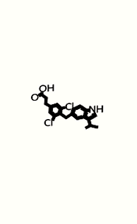 CC(C)c1c[nH]c2ccc(Cc3c(Cl)cc(CCC(=O)O)cc3Cl)cc12